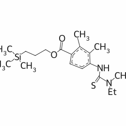 CCN(C)C(=S)Nc1ccc(C(=O)OCCC[Si](C)(C)C)c(C)c1C